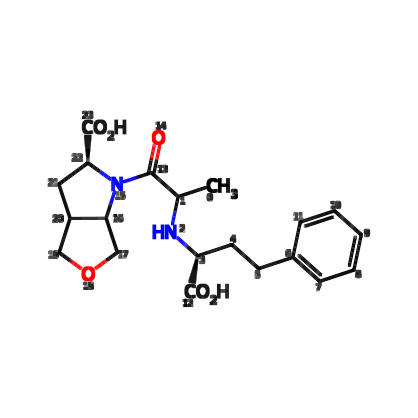 CC(N[C@@H](CCc1ccccc1)C(=O)O)C(=O)N1C2COCC2C[C@H]1C(=O)O